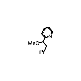 COC(CC(C)C)c1ccccn1